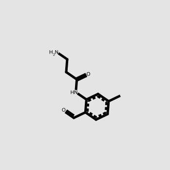 Cc1ccc([C]=O)c(NC(=O)CCN)c1